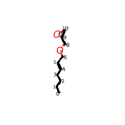 CCCC/C=C/COCC1CO1